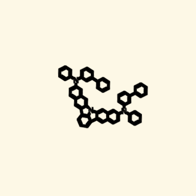 c1ccc(-c2cccc(N(c3ccccc3)c3ccc4cc5c6cccc7c8cc9ccc(N(c%10ccccc%10)c%10cccc(-c%11ccccc%11)c%10)cc9cc8n(c5cc4c3)c67)c2)cc1